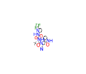 CC(C)(C)C[C@H](NC(=O)C(=O)Nc1cccc(C(F)(F)F)n1)C(=O)N1C[C@]2(C[C@H]1C#N)C(=O)Nc1ccccc12